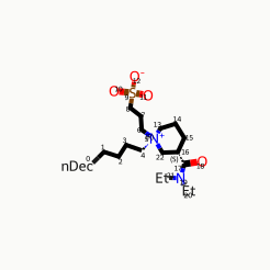 CCCCCCCCCCCCCC[N@+]1(CCCS(=O)(=O)[O-])CCC[C@H](C(=O)N(CC)CC)C1